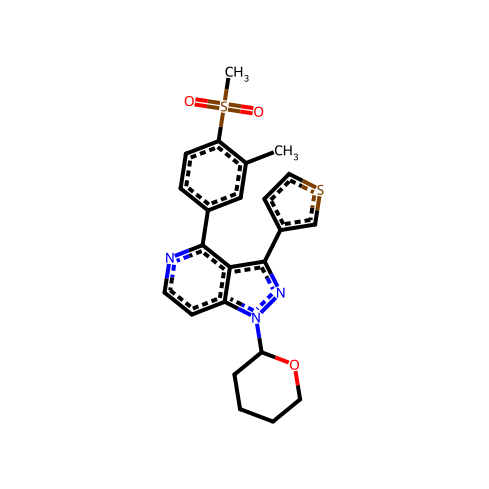 Cc1cc(-c2nccc3c2c(-c2ccsc2)nn3C2CCCCO2)ccc1S(C)(=O)=O